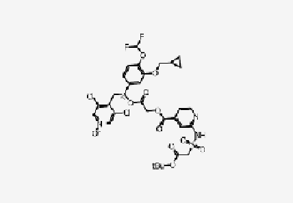 CC(C)(C)OC(=O)CS(=O)(=O)Nc1cc(C(=O)OCC(=O)O[C@@H](Cc2c(Cl)c[n+]([O-])cc2Cl)c2ccc(OC(F)F)c(OCC3CC3)c2)ccn1